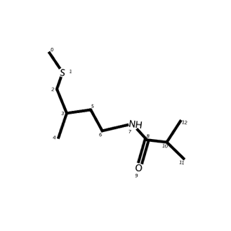 CSCC(C)CCNC(=O)C(C)C